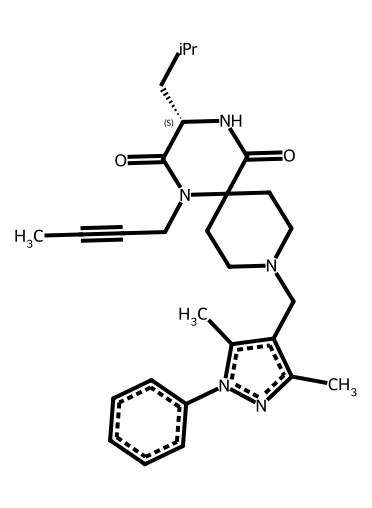 CC#CCN1C(=O)[C@H](CC(C)C)NC(=O)C12CCN(Cc1c(C)nn(-c3ccccc3)c1C)CC2